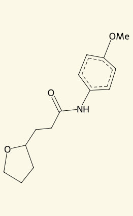 COc1ccc(NC(=O)CCC2CCCO2)cc1